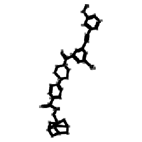 CCOc1cncc(C#Cc2cc(C(=O)N3CCN(c4ccc(C(=O)NCC56CC7CC(CC(C7)C5)C6)cc4)CC3)cc(C(F)(F)F)c2)c1